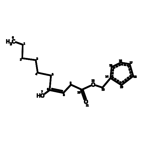 CCCCCC/C(O)=C\CC(=O)OCc1ccccc1